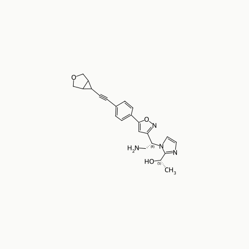 C[C@H](O)c1nccn1[C@H](CN)c1cc(-c2ccc(C#CC3C4COCC34)cc2)on1